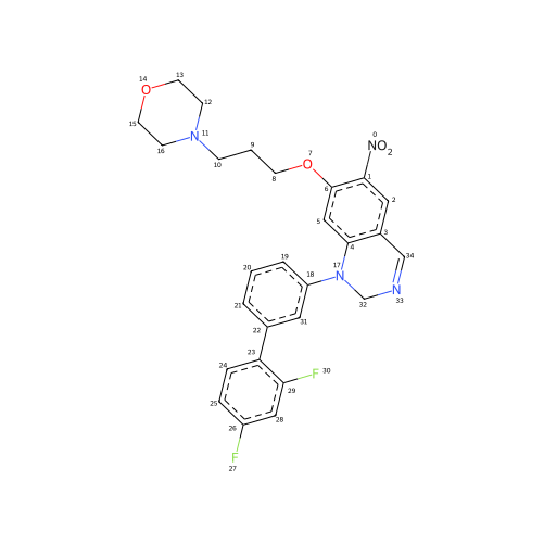 O=[N+]([O-])c1cc2c(cc1OCCCN1CCOCC1)N(c1cccc(-c3ccc(F)cc3F)c1)CN=C2